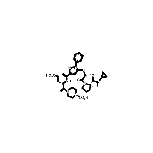 C[C@@H](Oc1cc(C(=O)N[C@@H](CCC(=O)O)C(=O)N2CCN(C(=O)O)CC2)nn1-c1ccccc1)C(=O)N1CCC[C@H]1C(=O)NC1CC1